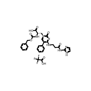 O=C(CCNc1nc(=O)n(C[C@H](NC(=O)OCc2ccccc2)C(=O)O)cc1-c1ccccc1)Nc1ncc[nH]1.O=C(O)C(F)(F)F